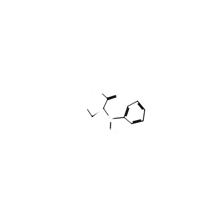 O=C(O)[C@H](CO)N(S)c1ccccc1